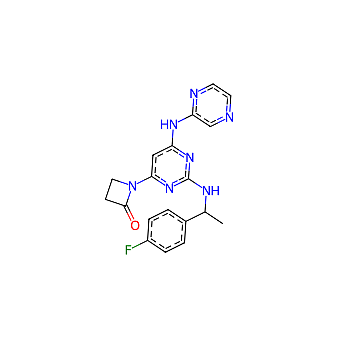 CC(Nc1nc(Nc2cnccn2)cc(N2CCC2=O)n1)c1ccc(F)cc1